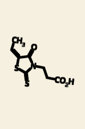 CC=C1SC(=S)N(CCC(=O)O)C1=O